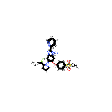 CC(F)C1CCCN1c1cc2nc(-c3ccccn3)[nH]c2cc1Oc1ccc(S(C)(=O)=O)cc1